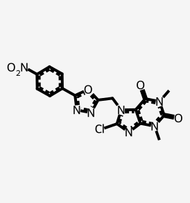 Cn1c(=O)c2c(nc(Cl)n2Cc2nnc(-c3ccc([N+](=O)[O-])cc3)o2)n(C)c1=O